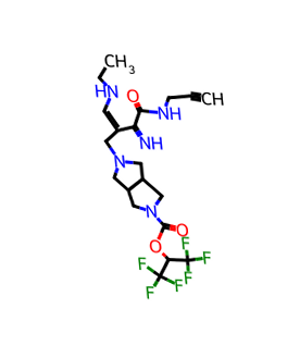 C#CCNC(=O)C(=N)/C(=C\NCC)CN1CC2CN(C(=O)OC(C(F)(F)F)C(F)(F)F)CC2C1